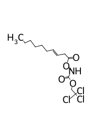 CCCCCC/C=C/CC(=O)ONC(=O)OCC(Cl)(Cl)Cl